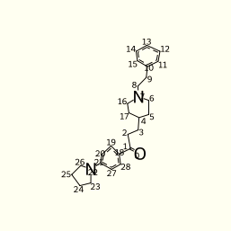 O=C(CCC1CCN(CCc2ccccc2)CC1)c1ccc(N2CCCC2)cc1